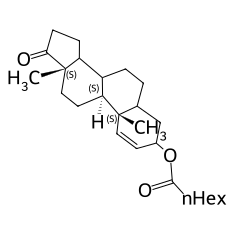 CCCCCCC(=O)OC1C=C[C@@]2(C)C(CCC3C4CCC(=O)[C@@]4(C)CC[C@@H]32)C1